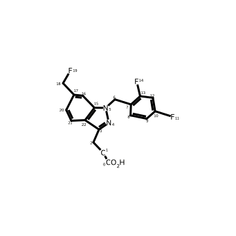 O=C(O)CCc1nn(Cc2ccc(F)cc2F)c2cc(CF)ccc12